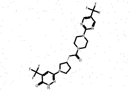 O=C(C[C@@H]1CCN(c2cc(C(F)(F)F)c(=O)[nH]n2)C1)N1CCN(c2ncc(C(F)(F)F)cn2)CC1